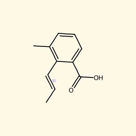 C/C=C/c1c(C)cccc1C(=O)O